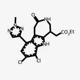 CCOC(=O)CC1CNC(=O)Cc2c1[nH]c1c(Cl)c(Cl)cc(-c3cnn(C)n3)c21